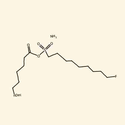 CCCCCCCCCCCCCCCC(=O)OS(=O)(=O)CCCCCCCCCF.N